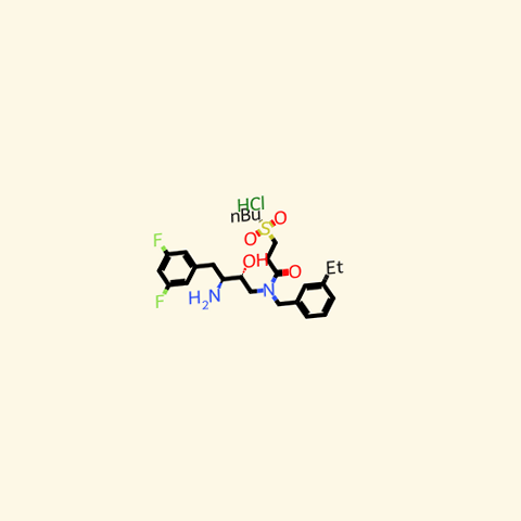 CCCCS(=O)(=O)CCC(=O)N(Cc1cccc(CC)c1)C[C@@H](O)[C@@H](N)Cc1cc(F)cc(F)c1.Cl